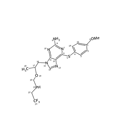 COc1ccc(Sc2nc(N)nc3c2ncn3CC(C)OCPCC(F)(F)F)cc1